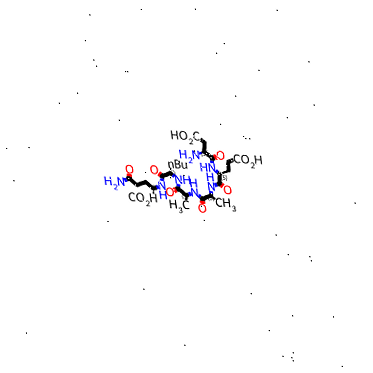 CCCC[C@H](NC(=O)[C@H](C)NC(=O)[C@H](C)NC(=O)[C@H](CCC(=O)O)NC(=O)[C@@H](N)CC(=O)O)C(=O)N[C@@H](CCC(N)=O)C(=O)O